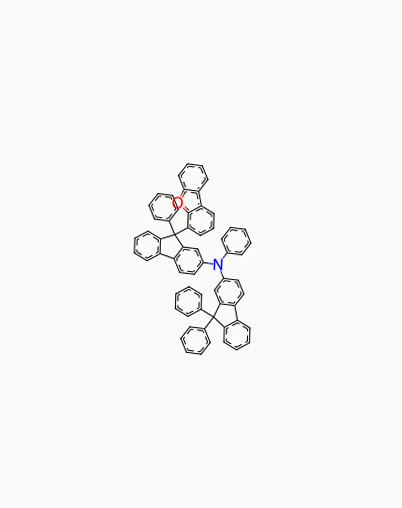 c1ccc(N(c2ccc3c(c2)C(c2ccccc2)(c2ccccc2)c2ccccc2-3)c2ccc3c(c2)C(c2ccccc2)(c2cccc4c2oc2ccccc24)c2ccccc2-3)cc1